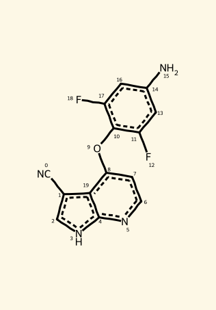 N#Cc1c[nH]c2nccc(Oc3c(F)cc(N)cc3F)c12